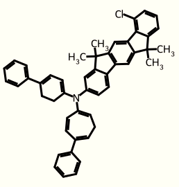 CC1(C)c2cc(N(C3=CCC=C(c4ccccc4)C=C3)C3=CC=C(c4ccccc4)CC3)ccc2-c2cc3c(cc21)-c1c(Cl)cccc1C3(C)C